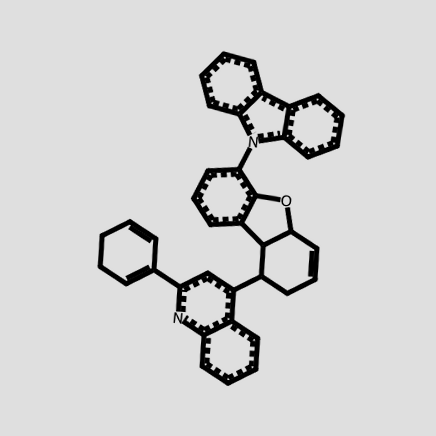 C1=CC(c2cc(C3CC=CC4Oc5c(cccc5-n5c6ccccc6c6ccccc65)C43)c3ccccc3n2)=CCC1